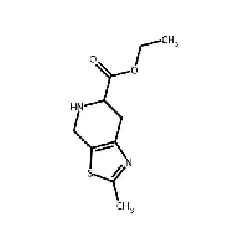 CCOC(=O)C1Cc2nc(C)sc2CN1